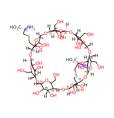 N[C@H](CSCC1O[C@@H]2O[C@@H]3C(CO)O[C@@H](O[C@@H]4C(CO)O[C@@H](O[C@@H]5C(CSC[C@@H](N)C(=O)O)O[C@@H](O[C@@H]6C(CO)O[C@@H](O[C@@H]7C(CO)O[C@H](O[C@@H]8C(CO)O[C@@H](O[C@H]1[C@H](O)C2O)C(O)[C@H]8O)C(O)[C@H]7O)C(O)[C@H]6O)C(O)[C@H]5O)C(O)[C@H]4O)C(O)[C@H]3O)C(=O)O